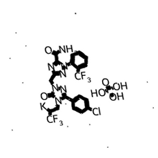 NC(=O)c1nc(Cn2nc(-c3ccc(Cl)cc3)n(C[CH]([K])C(F)(F)F)c2=O)nn1-c1ccccc1C(F)(F)F.O=P(O)(O)O